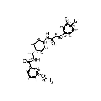 COc1cccc(C(=O)NC[C@H]2CC[C@H](NC(=O)COc3ccc(Cl)c(F)c3)CC2)n1